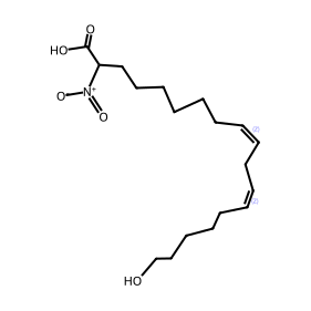 O=C(O)C(CCCCCC/C=C\C/C=C\CCCCCO)[N+](=O)[O-]